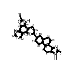 Cc1nc2c([nH]1)CCc1c-2ccc2cc(-c3ccc4c(c3)c3cncnc3c3nc(C)[nH]c43)ccc12